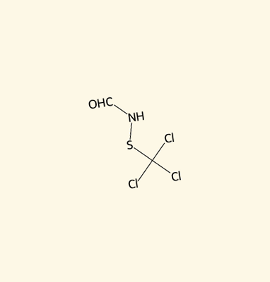 O=CNSC(Cl)(Cl)Cl